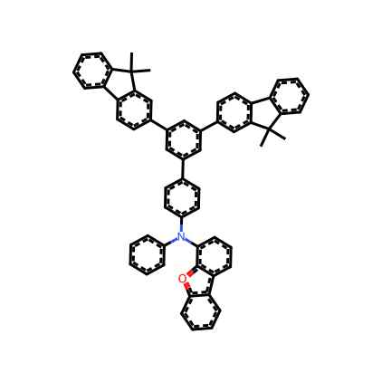 CC1(C)c2ccccc2-c2ccc(-c3cc(-c4ccc(N(c5ccccc5)c5cccc6c5oc5ccccc56)cc4)cc(-c4ccc5c(c4)C(C)(C)c4ccccc4-5)c3)cc21